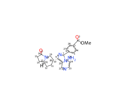 COC(=O)c1ccc(C2=NC([C@@H]3CC[C@H]4CCC(=O)N4C3)=C3C=NC=C[N+]23N)cc1